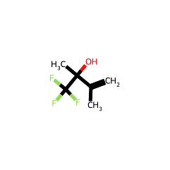 C=C(C)C(C)(O)C(F)(F)F